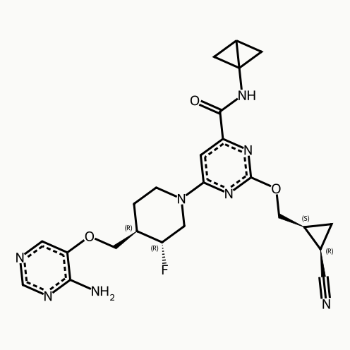 N#C[C@@H]1C[C@@H]1COc1nc(C(=O)NC23CC2C3)cc(N2CC[C@H](COc3cncnc3N)[C@@H](F)C2)n1